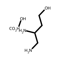 NCC(N)CCO.O=C(O)O